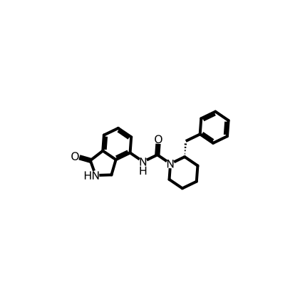 O=C1NCc2c(NC(=O)N3CCCC[C@H]3Cc3ccccc3)cccc21